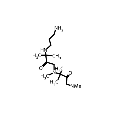 CNCC(=O)C(C)(C)N(C)CC(=O)C(C)(C)NCCCN